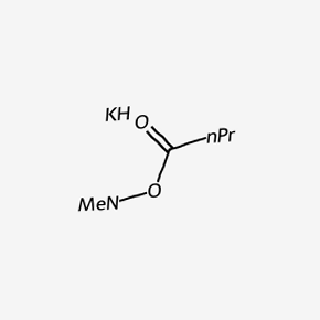 CCCC(=O)ONC.[KH]